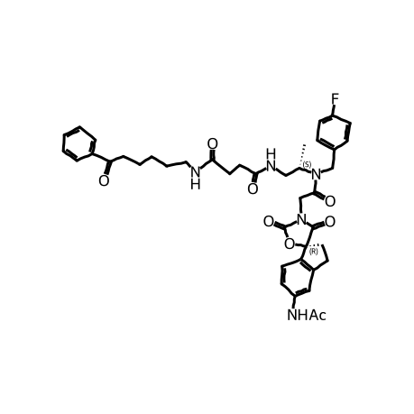 CC(=O)Nc1ccc2c(c1)CC[C@@]21OC(=O)N(CC(=O)N(Cc2ccc(F)cc2)[C@@H](C)CNC(=O)CCC(=O)NCCCCCC(=O)c2ccccc2)C1=O